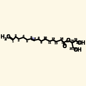 C=CCCCC/C=C/CCCCCCCC(=O)OC(CO)CO